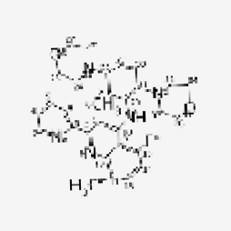 Cc1c(-c2ccccn2)nc2c(C)ccc(F)c2c1Nc1cc(N2CCOCC2)ccc1N1CCOCC1